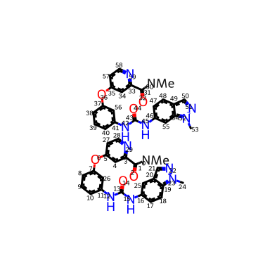 CNC(=O)c1cc(Oc2cccc(NC(=O)Nc3ccc4c(cnn4C)c3)c2)ccn1.CNC(=O)c1cc(Oc2cccc(NC(=O)Nc3ccc4cnn(C)c4c3)c2)ccn1